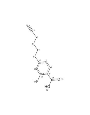 C#CCCCCc1ccc(C(=O)O)c(F)c1